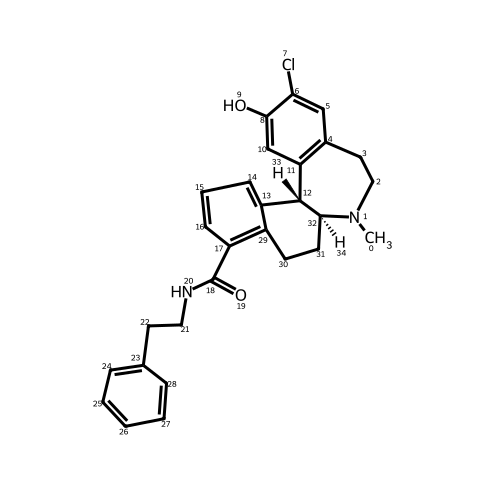 CN1CCc2cc(Cl)c(O)cc2[C@H]2c3cccc(C(=O)NCCc4ccccc4)c3CC[C@@H]21